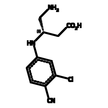 N#Cc1ccc(N[C@H](CN)CC(=O)O)cc1Cl